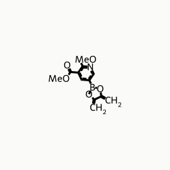 C=C1OB(c2cnc(OC)c(C(=O)OC)c2)OC1=C